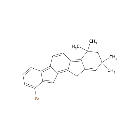 CC1(C)C=C2Cc3c4c(ccc3=C2C(C)(C)C1)=c1cccc(Br)c1=C4